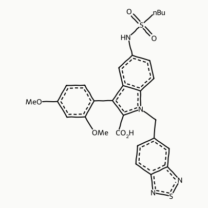 CCCCS(=O)(=O)Nc1ccc2c(c1)c(-c1ccc(OC)cc1OC)c(C(=O)O)n2Cc1ccc2nsnc2c1